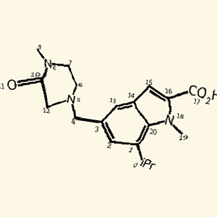 CC(C)c1cc(CN2CCN(C)C(=O)C2)cc2cc(C(=O)O)n(C)c12